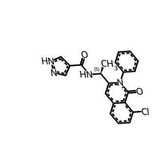 C[C@H](NC(=O)c1cn[nH]c1)c1cc2cccc(Cl)c2c(=O)n1-c1ccccc1